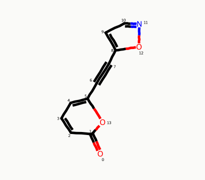 O=c1cccc(C#Cc2ccno2)o1